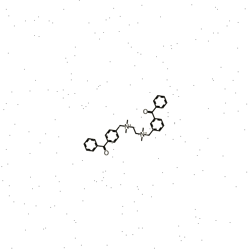 C[N+](C)(CC[N+](C)(C)Cc1cccc(C(=O)c2ccccc2)c1)Cc1ccc(C(=O)c2ccccc2)cc1